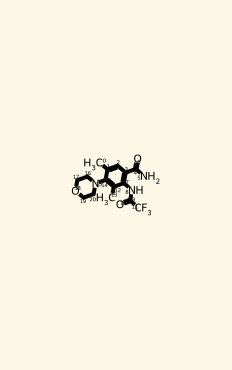 Cc1cc(C(N)=O)c(NC(=O)C(F)(F)F)c(C)c1N1CCOCC1